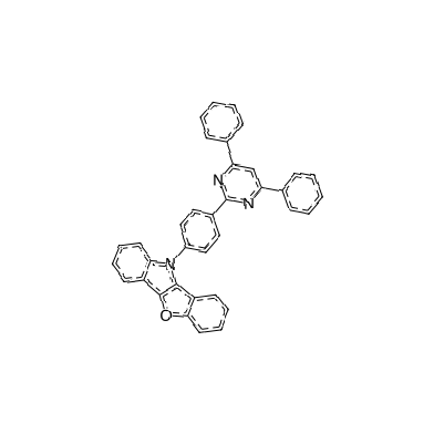 c1ccc(-c2cc(-c3ccccc3)nc(-c3ccc(-n4c5ccccc5c5oc6ccccc6c54)cc3)n2)cc1